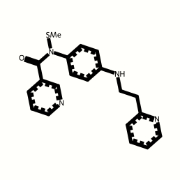 CSN(C(=O)c1cccnc1)c1ccc(NCCc2ccccn2)cc1